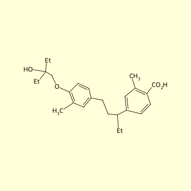 CCC(CCc1ccc(OCC(O)(CC)CC)c(C)c1)c1ccc(C(=O)O)c(C)c1